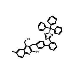 CCCc1nc2ccc(C)cc2c(CO)c1Cc1ccc(-c2ccccc2-c2nnn(C(c3ccccc3)(c3ccccc3)c3ccccc3)n2)cc1